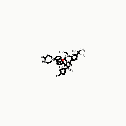 CCOc1nc(C(C)(C)C)ncc1C1=N[C@@](C)(c2ccc(Cl)cc2)C(C)(c2ccc(Cl)cc2)N1C(=O)N1CCC(N2CCNC(=O)CC2)CC1